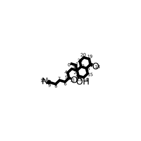 CCC12CCC(CCCC#N)OC1(O)CCC1C(=O)CCCC12